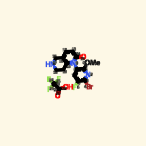 COc1nc(Br)c(F)cc1-n1c2c(ccc1=O)CNCC2.O=C(O)C(F)(F)F